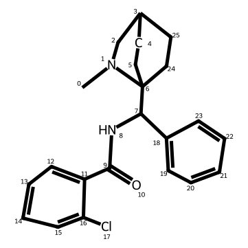 CN1CC2CCC1(C(NC(=O)c1ccccc1Cl)c1ccccc1)CC2